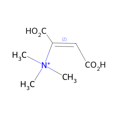 C[N+](C)(C)/C(=C\C(=O)O)C(=O)O